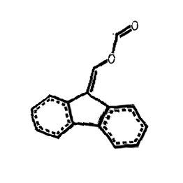 O=[C]OC=C1c2ccccc2-c2ccccc21